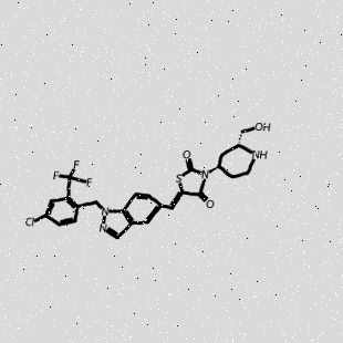 O=C1S/C(=C\c2ccc3c(cnn3Cc3ccc(Cl)cc3C(F)(F)F)c2)C(=O)N1[C@@H]1CCN[C@@H](CO)C1